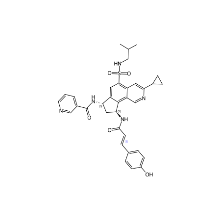 CC(C)CNS(=O)(=O)c1cc2c(c3cnc(C4CC4)cc13)[C@@H](NC(=O)/C=C/c1ccc(O)cc1)C[C@@H]2NC(=O)c1cccnc1